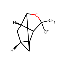 FC(F)(F)C1(C(F)(F)F)OC2C3C4C1[C@@H]2C[C@@H]34